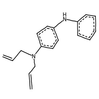 C=CCN(CC=C)c1ccc(Nc2ccccc2)cc1